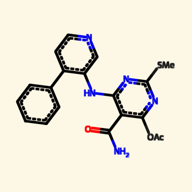 CSc1nc(Nc2cnccc2-c2ccccc2)c(C(N)=O)c(OC(C)=O)n1